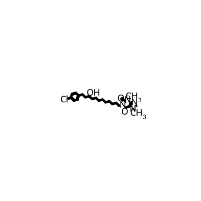 Cn1cnc2c1c(=O)n(CCCCCCCCCC(O)CCc1ccc(Cl)cc1)c(=O)n2C